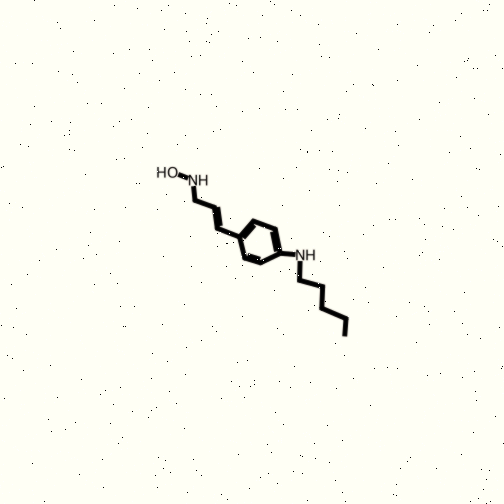 CCCCCNc1ccc(C=CCNO)cc1